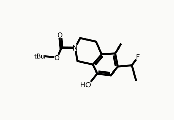 Cc1c(C(C)F)cc(O)c2c1CCN(C(=O)OC(C)(C)C)C2